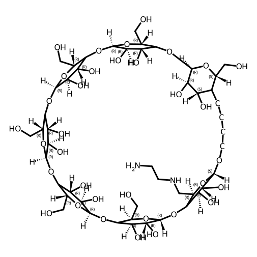 NCCNC[C@H]1O[C@@H]2OCCCCC3[C@@H](CO)O[C@H](OC4[C@@H](CO)O[C@H](OC5[C@@H](CO)O[C@H](OC6[C@@H](CO)O[C@H](OC7[C@@H](CO)O[C@H](OC8[C@@H](CO)O[C@H](OC1[C@H](O)[C@H]2O)[C@H](O)[C@H]8O)[C@H](O)[C@H]7O)[C@H](O)[C@H]6O)[C@H](O)[C@H]5O)[C@H](O)[C@H]4O)[C@H](O)[C@H]3O